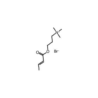 CC=CC(=O)OCCC[N+](C)(C)C.[Br-]